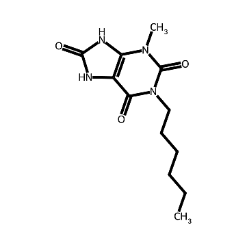 CCCCCCn1c(=O)c2[nH]c(=O)[nH]c2n(C)c1=O